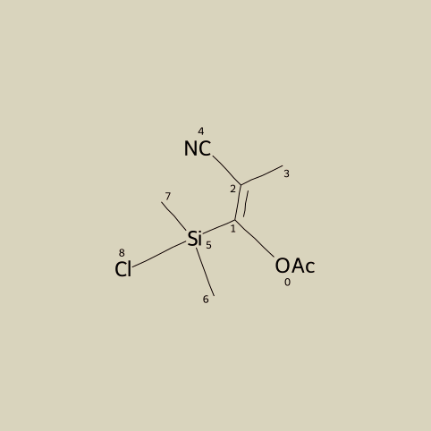 CC(=O)OC(=C(C)C#N)[Si](C)(C)Cl